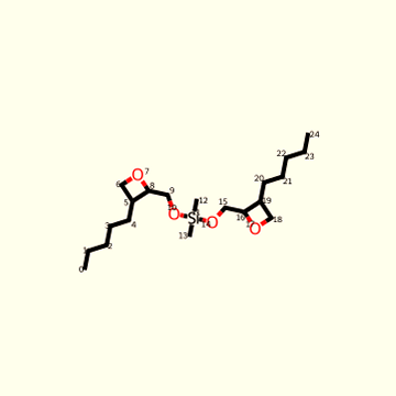 CCCCCC1COC1CO[Si](C)(C)OCC1OCC1CCCCC